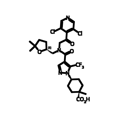 CC1(C)CC[C@H](CN(CC(=O)c2c(Cl)cncc2Cl)C(=O)c2cnn([C@H]3CC[C@](C)(C(=O)O)CC3)c2C(F)(F)F)O1